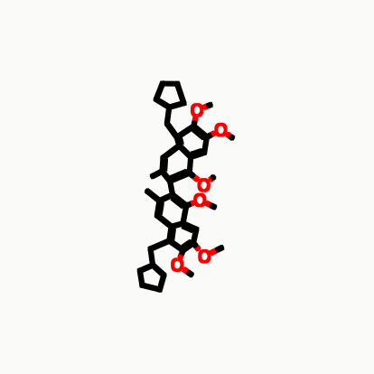 COc1cc2c(OC)c(-c3c(C)cc4c(CC5CCCC5)c(OC)c(OC)cc4c3OC)c(C)cc2c(CC2CCCC2)c1OC